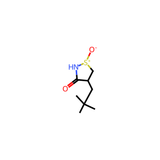 CC(C)(C)CC1C[S+]([O-])NC1=O